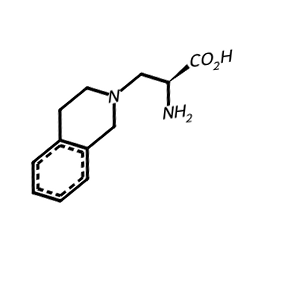 N[C@@H](CN1CCc2ccccc2C1)C(=O)O